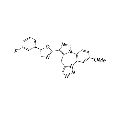 COc1ccc2c(c1)-n1nncc1Cc1c(C3=NC[C@@H](c4cccc(F)c4)O3)ncn1-2